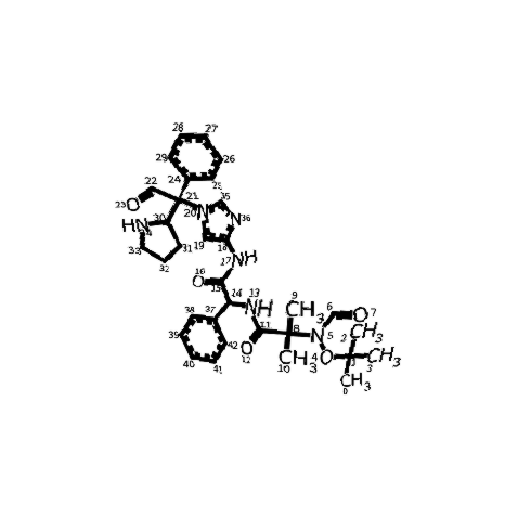 CC(C)(C)ON(C=O)C(C)(C)C(=O)NC(C(=O)Nc1cn([C@](C=O)(c2ccccc2)C2CCCN2)cn1)c1ccccc1